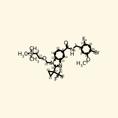 COc1cc(CNC(=O)c2ccc3c(c2)nc(C2(C(F)(F)F)CC2)n3COCC[Si](C)(C)C)c(F)cc1Br